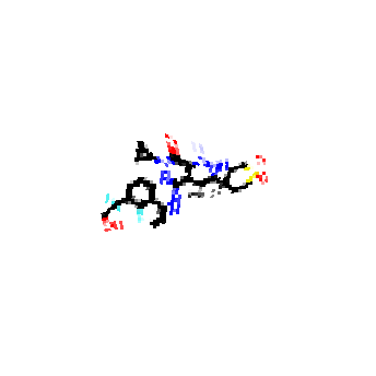 C=C[C@@H](Nc1nn(C2CC2)c(=O)c2c1C=C(C1(OC)CCS(=O)(=O)CC1)NN2)c1cccc(C(F)(F)CO)c1F